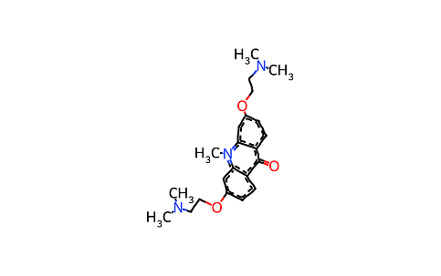 CN(C)CCOc1ccc2c(=O)c3ccc(OCCN(C)C)cc3n(C)c2c1